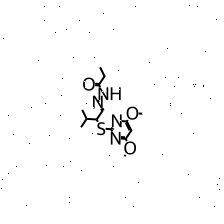 CCC(=O)NN=CC(Sc1nc(OC)cc(OC)n1)C(C)C